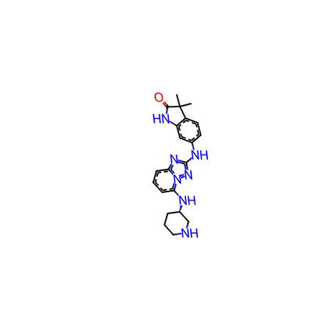 CC1(C)C(=O)Nc2cc(Nc3nc4cccc(N[C@@H]5CCCNC5)n4n3)ccc21